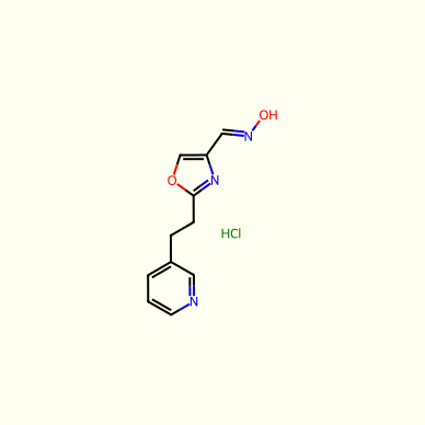 Cl.ON=Cc1coc(CCc2cccnc2)n1